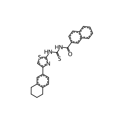 O=C(NC(=S)Nc1nc(-c2ccc3c(c2)CCCC3)cs1)c1ccc2ccccc2c1